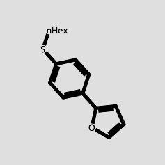 CCCCCCSc1ccc(-c2ccco2)cc1